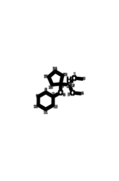 CO[SiH](OC)C1(OC2CCCCC2)CCCC1